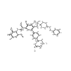 CSc1cc(C)[nH]c(=O)c1CNC(=O)c1cc(-c2ccc(N3C[C@@H](C)O[C@@H](C)C3)nc2)c2c(c1C)O[C@](C)(C1CCN(CCc3ccccc3)CC1)O2